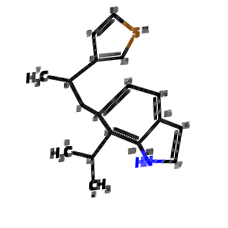 CC(C)c1c(CC(C)c2ccsc2)ccc2cc[nH]c12